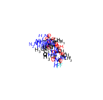 CC[C@H](C)[C@H](NC(=O)[C@@H](CCc1ccccc1)NC)C(=O)N[C@@H](CCCNC(=N)N)C(=O)N[C@H](CCC(N)=O)C(=O)N[C@@H](C(=O)N[C@H](C(=O)N[C@@H](CO)C(=O)N[C@H]1C(=O)N[C@@H](C)C(=O)NC2(CC2CC(F)F)C(=O)N[C@@H]([C@@H](C)CC)C(=O)O[C@H]1C)[C@@H](C)CC)[C@@H](C)CC